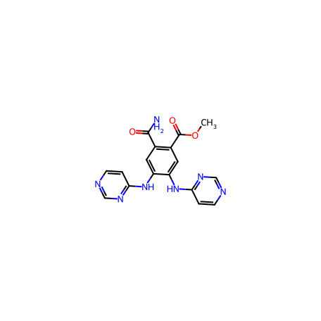 COC(=O)c1cc(Nc2ccncn2)c(Nc2ccncn2)cc1C(N)=O